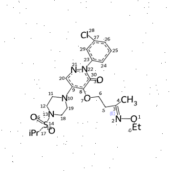 CCO/N=C(\C)CCOc1c(N2CCN(S(=O)(=O)C(C)C)CC2)cnn(-c2cccc(Cl)c2)c1=O